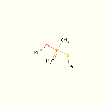 C=P(C)(OC(C)C)SC(C)C